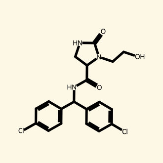 O=C(NC(c1ccc(Cl)cc1)c1ccc(Cl)cc1)C1CNC(=O)N1CCO